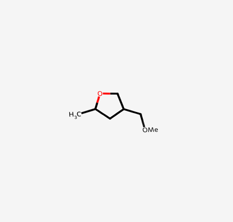 COCC1COC(C)C1